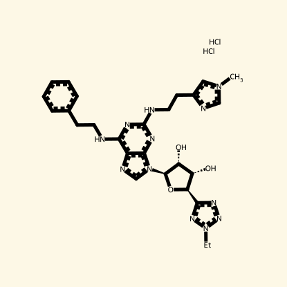 CCn1nnc([C@H]2O[C@@H](n3cnc4c(NCCc5ccccc5)nc(NCCc5cn(C)cn5)nc43)[C@H](O)[C@@H]2O)n1.Cl.Cl